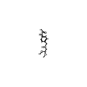 COC(CNCc1ccc(NC(C)=O)cc1)OC